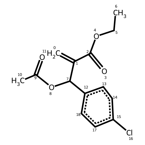 C=C(C(=O)OCC)C(OC(C)=O)c1ccc(Cl)cc1